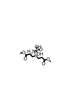 COC(=O)CCNCCC(=O)OC.NP(=O)(O)O